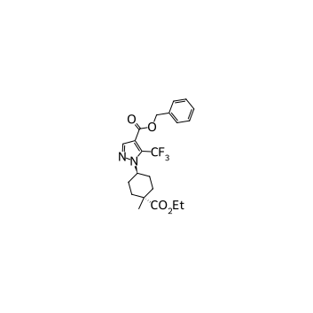 CCOC(=O)[C@]1(C)CC[C@@H](n2ncc(C(=O)OCc3ccccc3)c2C(F)(F)F)CC1